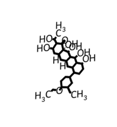 CCOC1CCC(C2CCC(O)C3C(O)C4C(O)[C@]5(O)C(=O)C(C(C)O)C(O)C[C@@H]5C[C@@H]4CC23)CC1CC